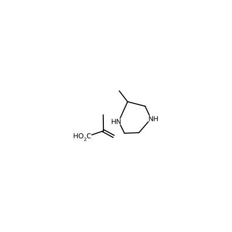 C=C(C)C(=O)O.CC1CNCCN1